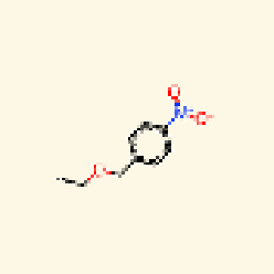 [CH2]COCc1ccc([N+](=O)[O-])cc1